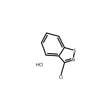 Cl.Clc1nsc2ccccc12